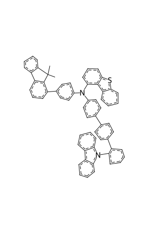 CC1(C)c2ccccc2-c2cccc(-c3ccc(N(c4ccc(-c5ccc(-c6ccccc6-n6c7ccccc7c7ccccc76)cc5)cc4)c4cccc5sc6ccccc6c45)cc3)c21